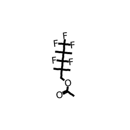 CC(=O)OCC(C)(C)C(F)(F)C(C)(C)C(F)(F)F